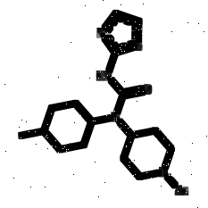 CC(=O)N1CCC(N(C(=O)Nc2nccs2)C2CCC(C)CC2)CC1